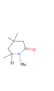 CCC1(C)CC(C)(C)CC(=O)N1C(C)(C)C